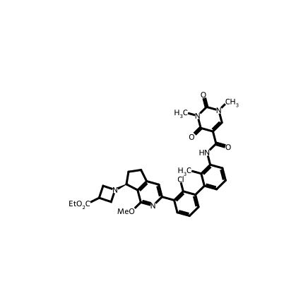 CCOC(=O)C1CN([C@H]2CCc3cc(-c4cccc(-c5cccc(NC(=O)c6cn(C)c(=O)n(C)c6=O)c5C)c4Cl)nc(OC)c32)C1